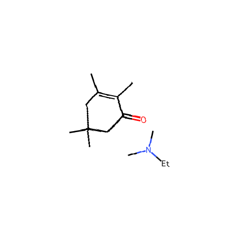 CC1=C(C)C(=O)CC(C)(C)C1.CCN(C)C